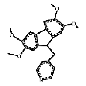 COc1cc2c(cc1OC)C(Cc1ccncc1)c1cc(OC)c(OC)cc1-2